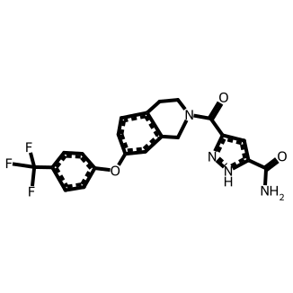 NC(=O)c1cc(C(=O)N2CCc3ccc(Oc4ccc(C(F)(F)F)cc4)cc3C2)n[nH]1